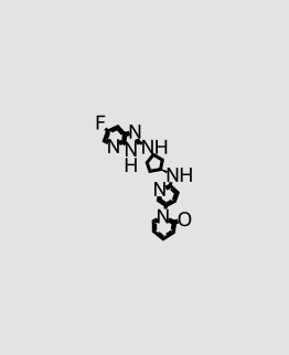 O=c1ccccn1-c1ccc(N[C@H]2CC[C@H](Nc3nc4cc(F)cnc4[nH]3)C2)nc1